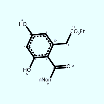 CCCCCCCCCC(=O)c1c(O)cc(O)cc1CC(=O)OCC